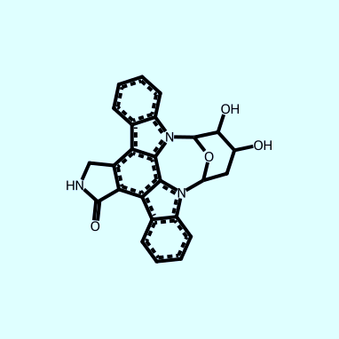 O=C1NCc2c1c1c3ccccc3n3c1c1c2c2ccccc2n1C1OC3CC(O)C1O